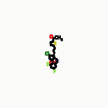 CC(=O)c1ccc(CCC[C@@H]2[C@@H](/C=C\c3cc(F)cc(F)c3)[C@H](O)C[C@H]2Cl)s1